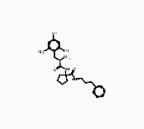 Cc1cc(O)cc(C)c1CC(N)C(=O)NC1(C(=O)NCCCc2ccccc2)CCCC1